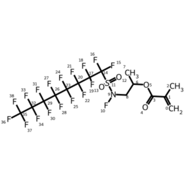 C=C(C)C(=O)OC(C)CN(F)S(=O)(=O)C(F)(F)C(F)(F)C(F)(F)C(F)(F)C(F)(F)C(F)(F)C(F)(F)C(F)(F)F